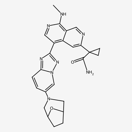 CNc1ncc(-c2nc3ccc(N4CC5CCC(C4)O5)cn3n2)c2cc(C3(C(N)=O)CC3)ncc12